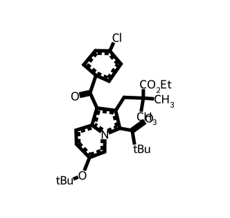 CCOC(=O)C(C)(C)Cc1c(C(=O)c2ccc(Cl)cc2)c2ccc(OC(C)(C)C)cn2c1C(=O)C(C)(C)C